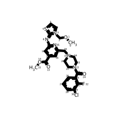 COCn1ccsc1=Nc1cc(C(=O)OC)cc(CN2CCN(C(=O)c3cccc(Cl)c3F)CC2)n1